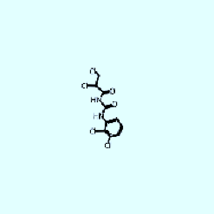 O=C(NC(=O)C(Cl)CCl)Nc1cccc(Cl)c1Cl